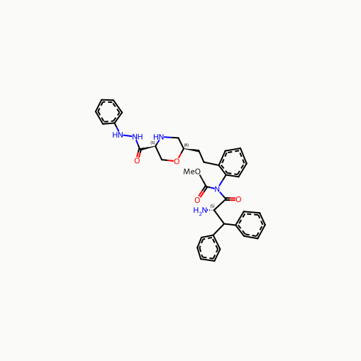 COC(=O)N(C(=O)[C@@H](N)C(c1ccccc1)c1ccccc1)c1ccccc1CC[C@@H]1CN[C@H](C(=O)NNc2ccccc2)CO1